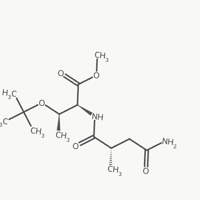 COC(=O)[C@@H](NC(=O)[C@@H](C)CC(N)=O)[C@@H](C)OC(C)(C)C